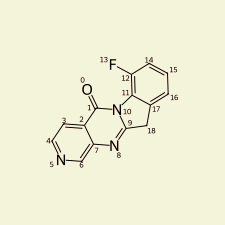 O=c1c2ccncc2nc2n1-c1c(F)cccc1C2